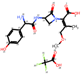 COCC(C)=C(C(=O)O)N1CC(NC(=O)C(N)c2ccc(O)cc2)C1=O.O=C(O)C(F)(F)F